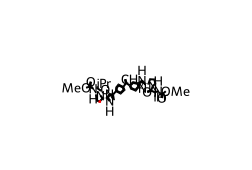 C=C(c1ccc(-c2c[nH]c([C@@H]3CCCN3C(=O)[C@@H](NC(=O)OC)C(C)C)n2)cc1)c1ccc2nc([C@@H]3CCCN3C(=O)[C@@H](NC(=O)OC)C(C)C)[nH]c2c1